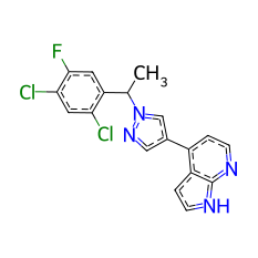 CC(c1cc(F)c(Cl)cc1Cl)n1cc(-c2ccnc3[nH]ccc23)cn1